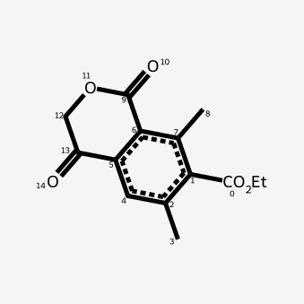 CCOC(=O)c1c(C)cc2c(c1C)C(=O)OCC2=O